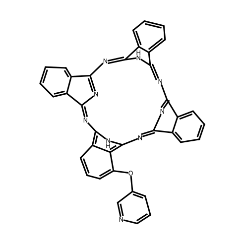 c1cncc(Oc2cccc3c4nc5nc(nc6[nH]c(nc7nc(nc([nH]4)c23)-c2ccccc2-7)c2ccccc62)-c2ccccc2-5)c1